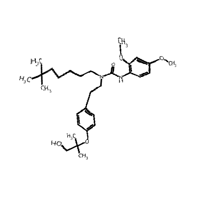 COc1ccc(NC(=O)N(CCCCCC(C)(C)C)CCc2ccc(OC(C)(C)CO)cc2)c(OC)c1